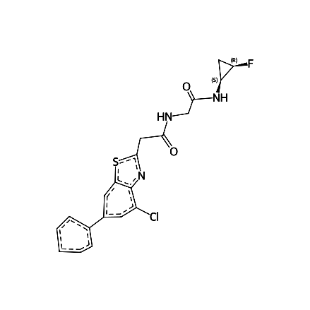 O=C(Cc1nc2c(Cl)cc(-c3ccccc3)cc2s1)NCC(=O)N[C@H]1C[C@H]1F